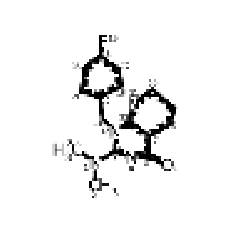 CN(C)c1nc(=O)c2cccnc2n1Cc1ccc(F)cc1